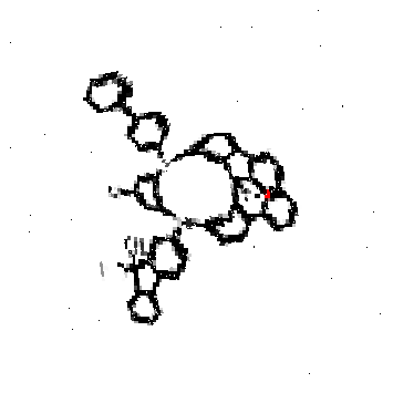 CC1(C)c2ccccc2-c2ccc(N3c4cc(Cl)cc(c4)N(c4ccc(-c5ccccc5)cc4)c4ccc5c(c4)C(C)(c4cc3ccc4-c3ccccc3)c3ccccc3-5)cc21